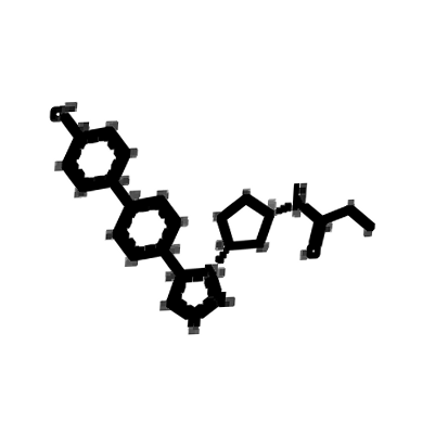 CCC(=O)N[C@H]1CC[C@@H](n2nncc2-c2ccc(-c3ccc(Cl)cc3)cc2)C1